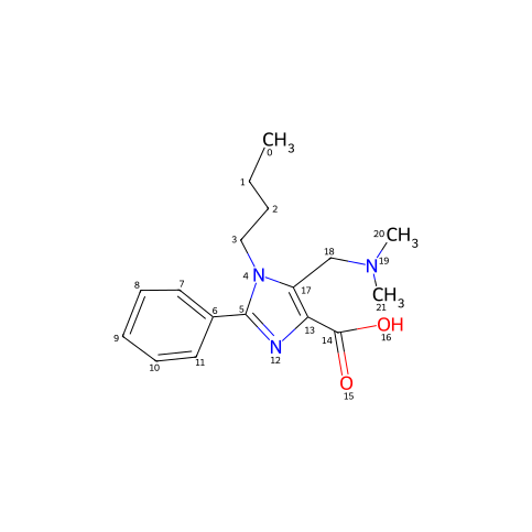 CCCCn1c(-c2ccccc2)nc(C(=O)O)c1CN(C)C